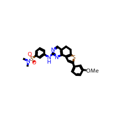 COc1cccc(-c2cc3c(s2)CCc2cnc(Nc4cccc(S(=O)(=O)N(C)C)c4)nc2-3)c1